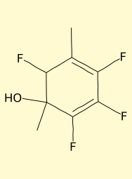 CC1=C(F)C(F)=C(F)C(C)(O)C1F